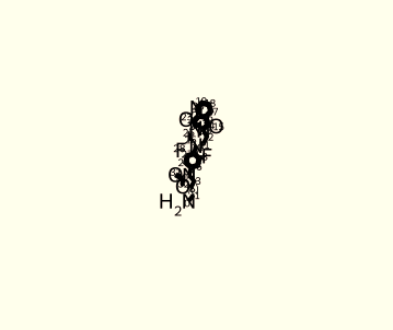 NC[C@H]1CN(c2cc(F)c(N3CCn4c(=O)c5cccnc5c(=O)n4CC3)c(F)c2)C(=O)O1